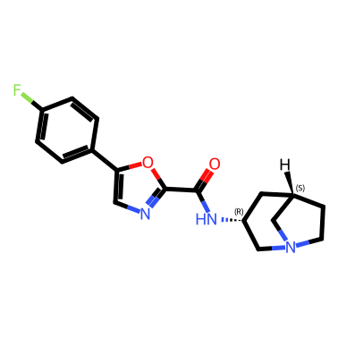 O=C(N[C@@H]1C[C@@H]2CCN(C2)C1)c1ncc(-c2ccc(F)cc2)o1